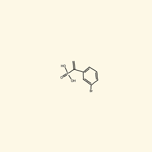 C=C(c1cccc(Br)c1)P(=O)(O)O